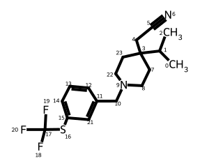 CC(C)C1(CC#N)CCN(Cc2cccc(SC(F)(F)F)c2)CC1